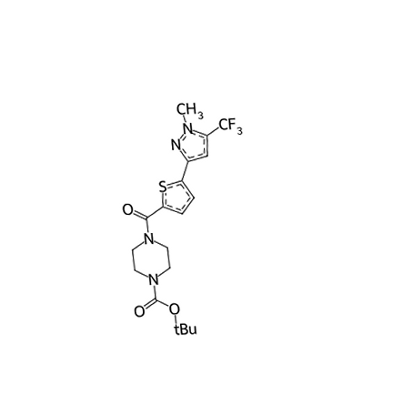 Cn1nc(-c2ccc(C(=O)N3CCN(C(=O)OC(C)(C)C)CC3)s2)cc1C(F)(F)F